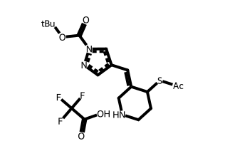 CC(=O)SC1CCNCC1=Cc1cnn(C(=O)OC(C)(C)C)c1.O=C(O)C(F)(F)F